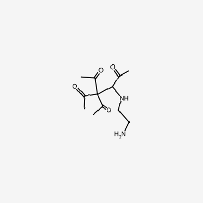 CC(=O)C(NCCN)C(C(C)=O)(C(C)=O)C(C)=O